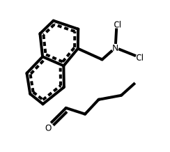 CCCCC=O.ClN(Cl)Cc1cccc2ccccc12